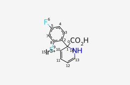 O=C(O)C1(c2ccc(F)cc2F)C=CC=CN1.[Ir+3]